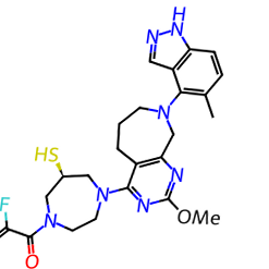 C=C(F)C(=O)N1CCN(c2nc(OC)nc3c2CCCN(c2c(C)ccc4[nH]ncc24)C3)C[C@H](S)C1